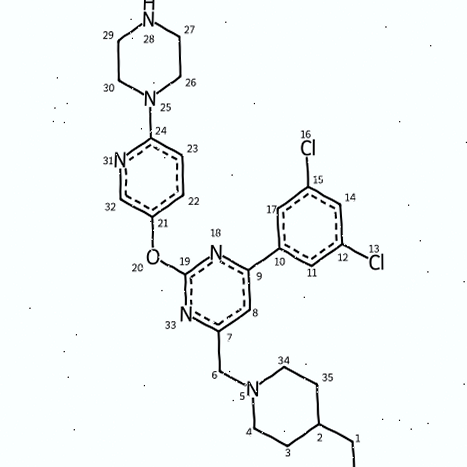 CC(=O)NCC1CCN(Cc2cc(-c3cc(Cl)cc(Cl)c3)nc(Oc3ccc(N4CCNCC4)nc3)n2)CC1